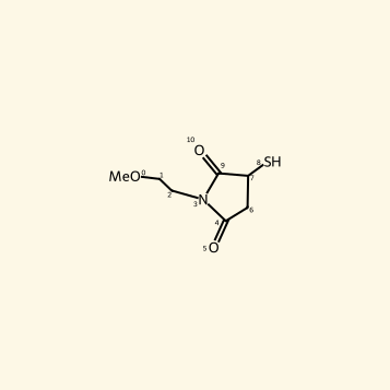 COCCN1C(=O)CC(S)C1=O